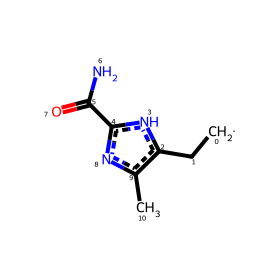 [CH2]Cc1[nH]c(C(N)=O)nc1C